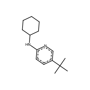 CC(C)(C)c1ccc(NC2CCCCC2)nc1